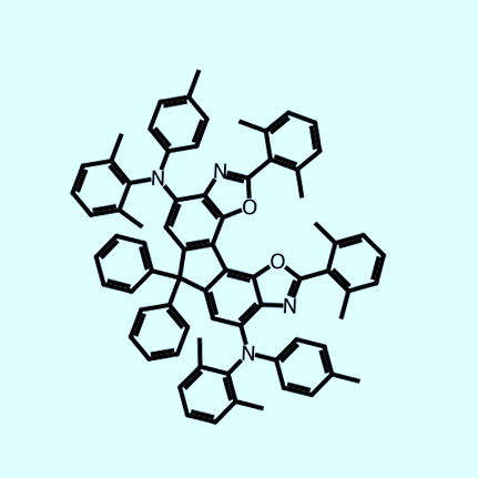 Cc1ccc(N(c2c(C)cccc2C)c2cc3c(c4oc(-c5c(C)cccc5C)nc24)-c2c(cc(N(c4ccc(C)cc4)c4c(C)cccc4C)c4nc(-c5c(C)cccc5C)oc24)C3(c2ccccc2)c2ccccc2)cc1